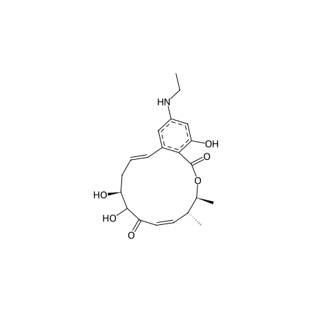 CCNc1cc(O)c2c(c1)/C=C/C[C@H](O)C(O)C(=O)/C=C\[C@@H](C)[C@H](C)OC2=O